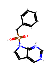 O=S(=O)(Cc1ccccc1)n1ccc2cncnc21